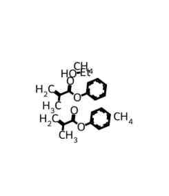 C.C.C=C(C)C(=O)Oc1ccccc1.C=C(C)C(=O)Oc1ccccc1.CCO